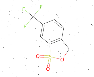 O=S1(=O)OCc2ccc(C(F)(F)F)cc21